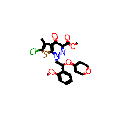 COC(=O)c1nn(CC(OC2CCOCC2)c2ccccc2OC)c2sc(Cl)c(C)c2c1=O